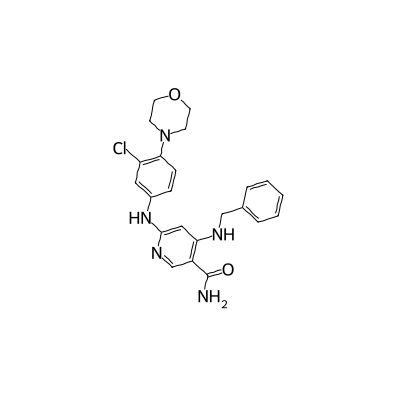 NC(=O)c1cnc(Nc2ccc(N3CCOCC3)c(Cl)c2)cc1NCc1ccccc1